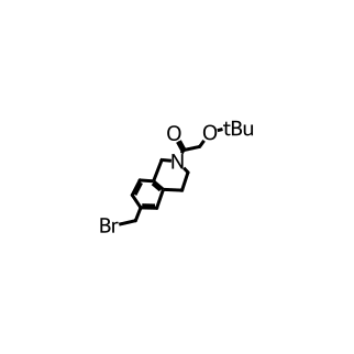 CC(C)(C)OCC(=O)N1CCc2cc(CBr)ccc2C1